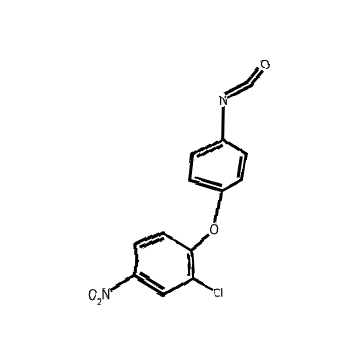 O=C=Nc1ccc(Oc2ccc([N+](=O)[O-])cc2Cl)cc1